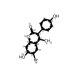 Cc1c(-c2ccc(O)cc2)c(=O)oc2cc(O)c(Br)cc12